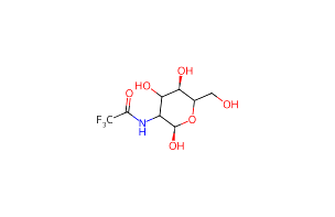 O=C(NC1C(O)[C@@H](O)C(CO)O[C@H]1O)C(F)(F)F